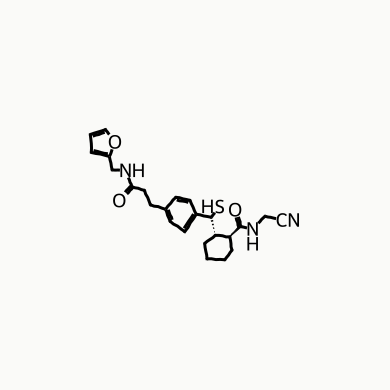 N#CCNC(=O)[C@H]1CCCC[C@@H]1C(S)c1ccc(CCC(=O)NCc2ccco2)cc1